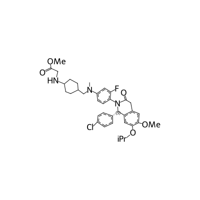 COC(=O)CNC1CCC(CN(C)c2ccc(N3C(=O)Cc4cc(OC)c(OC(C)C)cc4[C@@H]3c3ccc(Cl)cc3)c(F)c2)CC1